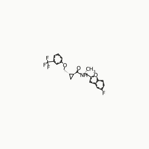 C[C@@H](NC(=O)[C@H]1C[C@@H]1COc1cccc(C(F)(F)F)c1)c1cc2cc(F)ccc2o1